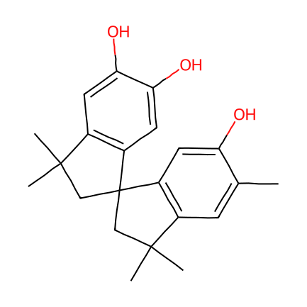 Cc1cc2c(cc1O)C1(CC2(C)C)CC(C)(C)c2cc(O)c(O)cc21